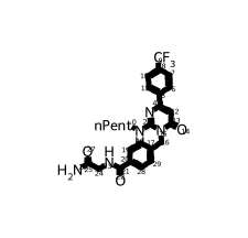 CCCCCNc1nc(-c2ccc(C(F)(F)F)cc2)cc(=O)n1Cc1ccc(C(=O)NCC(N)=O)cc1